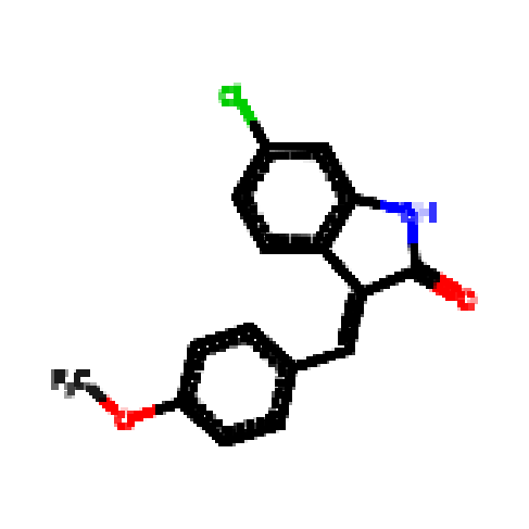 O=C1Nc2cc(Cl)ccc2/C1=C\c1ccc(OC(F)(F)F)cc1